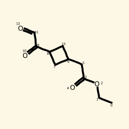 CCOC(=O)CC1CC(C(=O)C=O)C1